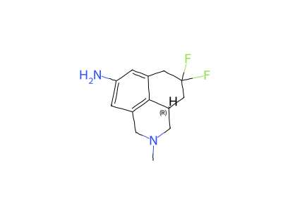 CN1Cc2cc(N)cc3c2[C@H](C1)CC(F)(F)C3